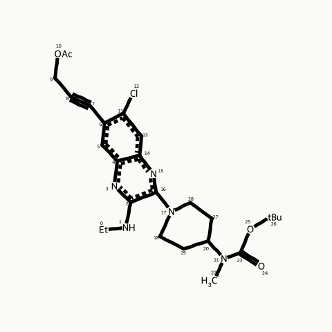 CCNc1nc2cc(C#CCOC(C)=O)c(Cl)cc2nc1N1CCC(N(C)C(=O)OC(C)(C)C)CC1